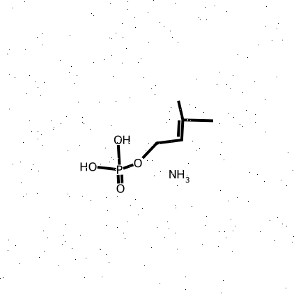 CC(C)=CCOP(=O)(O)O.N